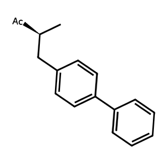 CC(=O)[C@@H](C)Cc1ccc(-c2ccccc2)cc1